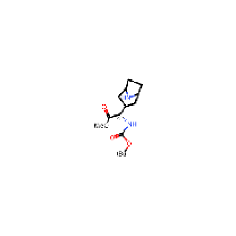 COC(=O)[C@@H](NC(=O)OC(C)(C)C)C1CC2CCC(C1)N2